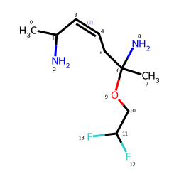 CC(N)/C=C\CC(C)(N)OCC(F)F